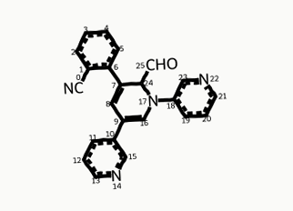 N#Cc1ccccc1C1=CC(c2cccnc2)=CN(c2cccnc2)C1C=O